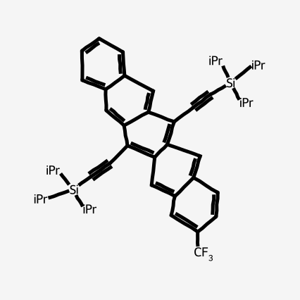 CC(C)[Si](C#Cc1c2cc3ccccc3cc2c(C#C[Si](C(C)C)(C(C)C)C(C)C)c2cc3cc(C(F)(F)F)ccc3cc12)(C(C)C)C(C)C